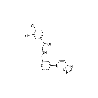 OC(CNCc1cccc(N2C=Cc3ncnn3C2)c1)c1ccc(Cl)c(Cl)c1